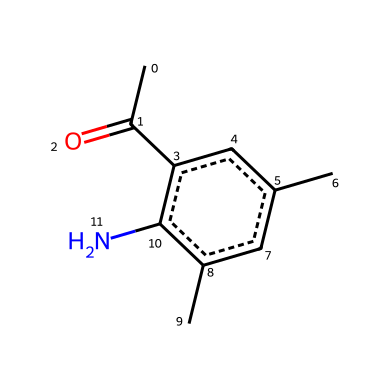 CC(=O)c1cc(C)cc(C)c1N